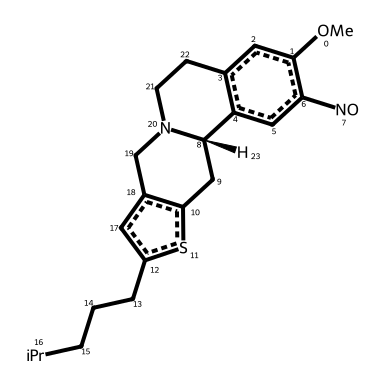 COc1cc2c(cc1N=O)[C@@H]1Cc3sc(CCCC(C)C)cc3CN1CC2